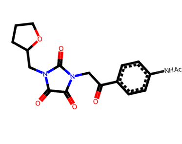 CC(=O)Nc1ccc(C(=O)CN2C(=O)C(=O)N(CC3CCCO3)C2=O)cc1